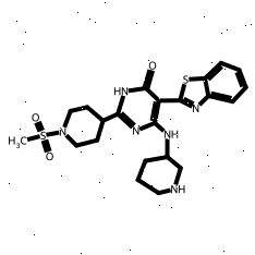 CS(=O)(=O)N1CCC(c2nc(NC3CCCNC3)c(-c3nc4ccccc4s3)c(=O)[nH]2)CC1